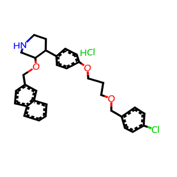 Cl.Clc1ccc(COCCCOc2ccc(C3CCNCC3OCc3ccc4ccccc4c3)cc2)cc1